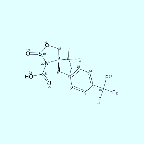 CC(C)(C)[C@@]1(Cc2ccc(C(F)(F)F)cc2)COS(=O)N1C(=O)O